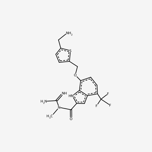 CN(C(=N)N)C(=O)c1cc2c(C(F)(F)F)ccc(OCc3ccc(CN)s3)c2[nH]1